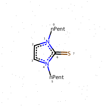 CCCCCn1ccn(CCCCC)c1=S